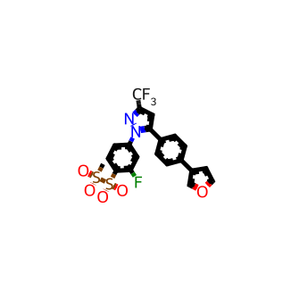 CS(=O)(=O)S(=O)(=O)c1ccc(-n2nc(C(F)(F)F)cc2-c2ccc(-c3ccoc3)cc2)cc1F